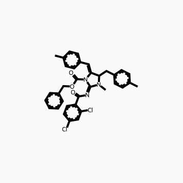 Cc1ccc(/C=C2/C(Cc3ccc(C)cc3)N(C)/C(=N/C(=O)c3ccc(Cl)cc3Cl)N2C(=O)OCc2ccccc2)cc1